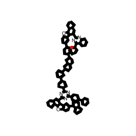 C1=CC2C=C(c3nc(-c4ccccc4)c4ccccc4n3)c3c(oc4ccc(-c5ccc(-c6ccc7ccc(-c8cccc(C9=CCC(c%10nc(C%11=Cc%12ccccc%12C%12Oc%13ccc(-c%14cccc%15ccccc%14%15)cc%13C%11%12)nc(-c%11ccc(-c%12ccccc%12)cc%11)n%10)C=C9)c8)cc7c6)cc5)cc34)C2C=C1